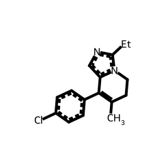 CCc1ncc2n1CCC(C)=C2c1ccc(Cl)cc1